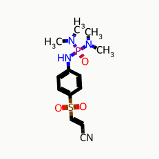 CN(C)P(=O)(Nc1ccc(S(=O)(=O)C=CC#N)cc1)N(C)C